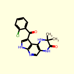 CC1(C)Nc2c(cnc3[nH]cc(C(=O)c4ccccc4Cl)c23)NC1=O